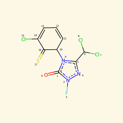 O=c1n(F)nc(C(Cl)Cl)n1C1C=CC=C(Cl)C1=S